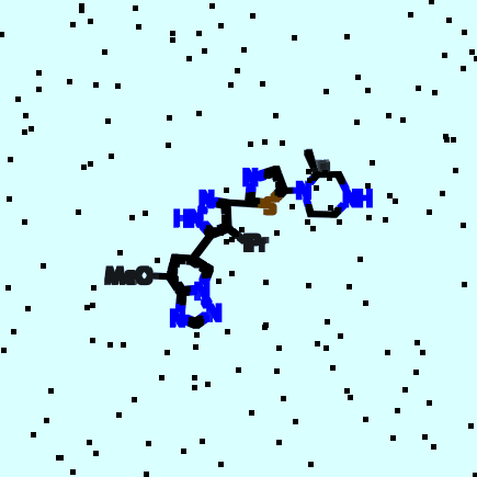 COc1cc(-c2[nH]nc(-c3ncc(N4CCNC[C@@H]4C)s3)c2C(C)C)cn2ncnc12